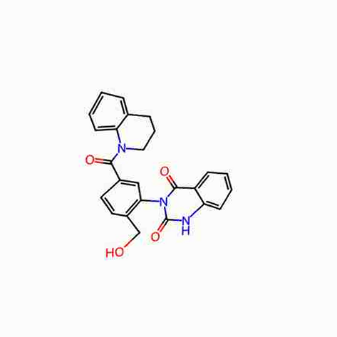 O=C(c1ccc(CO)c(-n2c(=O)[nH]c3ccccc3c2=O)c1)N1CCCc2ccccc21